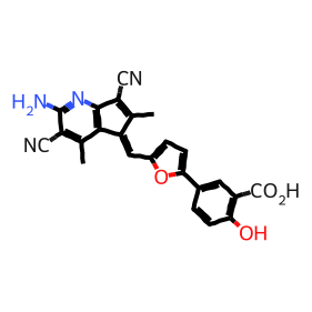 CC1=C(C#N)c2nc(N)c(C#N)c(C)c2/C1=C/c1ccc(-c2ccc(O)c(C(=O)O)c2)o1